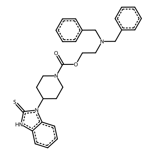 O=C(OCCN(Cc1ccccc1)Cc1ccccc1)N1CCC(n2c(=S)[nH]c3ccccc32)CC1